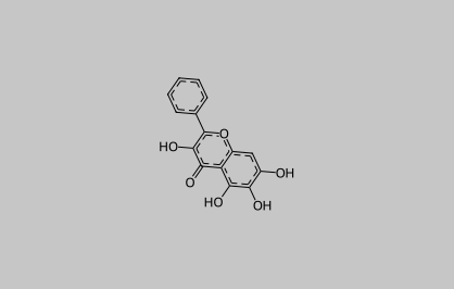 O=c1c(O)c(-c2ccccc2)oc2cc(O)c(O)c(O)c12